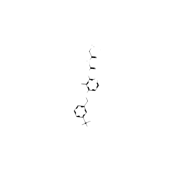 NCC(=O)NC(=O)Oc1nccc(OCc2cccc(C(F)(F)F)c2)c1O